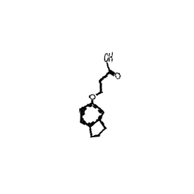 O=C(O)CCOc1ccc2c(c1)CCC2